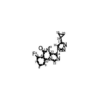 Cn1c(=O)c2c(F)cccc2n2cnc(-n3cc(C4CC4)nn3)c12